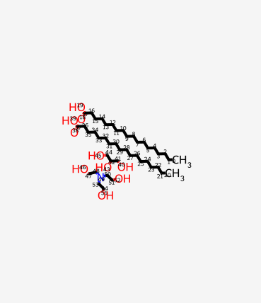 CCCCCCCCCCCCCCCCCC(=O)O.CCCCCCCCCCCCCCCCCC(=O)O.OCC(O)CO.OCCN(CCO)CCO